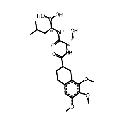 COc1cc2c(c(OC)c1OC)CC(C(=O)N[C@@H](CO)C(=O)N[C@@H](CC(C)C)B(O)O)CC2